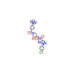 O=C(c1ccc(-n2nccn2)cc1)N1CCC(O)(Cn2cnc3c(cnn3-c3ccc(Cl)cc3)c2=O)CC1